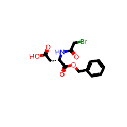 O=C(O)C[C@H](NC(=O)CBr)C(=O)OCc1ccccc1